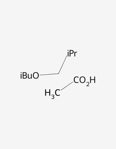 CC(=O)O.CC(C)COCC(C)C